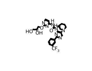 O=C(Nc1ccnc(OC[C@H](O)CO)n1)N1c2nc(-c3cccc(C(F)(F)F)c3)ncc2N2CCC[C@H]1C2